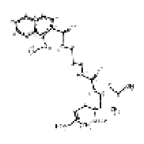 CC(=O)N[C@H](C/C=C(\C)C(=O)O)[C@@H](C)[C@@H](CCO)OC(=O)NCCCOC(=O)c1ccc2ccccc2c1ON